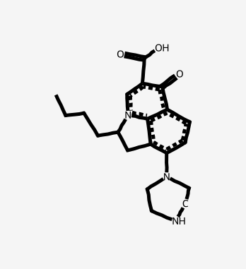 CCCCC1Cc2c(N3CCNCC3)ccc3c(=O)c(C(=O)O)cn1c23